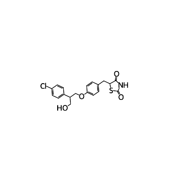 O=C1NC(=O)C(Cc2ccc(OCC(CO)c3ccc(Cl)cc3)cc2)S1